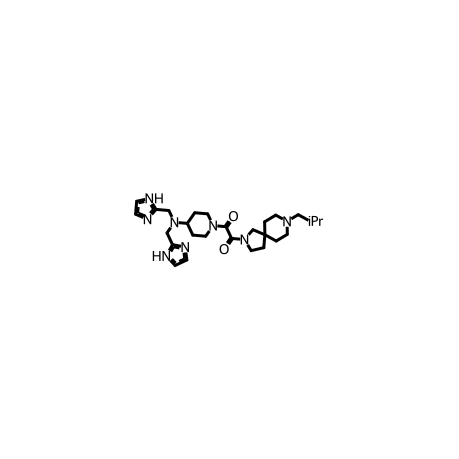 CC(C)CN1CCC2(CC1)CCN(C(=O)C(=O)N1CCC(N(Cc3ncc[nH]3)Cc3ncc[nH]3)CC1)C2